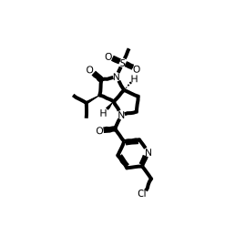 CC(C)[C@H]1C(=O)N(S(C)(=O)=O)[C@H]2CCN(C(=O)c3ccc(CCl)nc3)[C@H]12